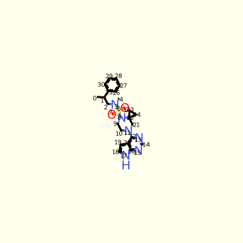 CC(CN(C)S(=O)(=O)N1CCN(c2ncnc3[nH]ccc23)CC12CC2)c1ccccc1